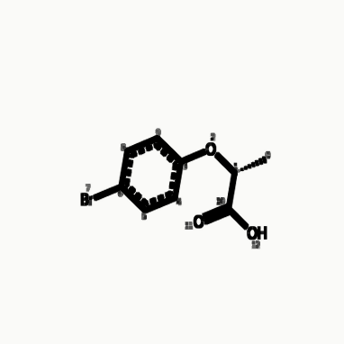 C[C@@H](Oc1ccc(Br)cc1)C(=O)O